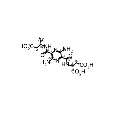 CC(=O)[C@@H](CC(=O)O)NC(=O)c1nc(N)c(C(=O)N[C@H](CC(=O)O)C(=O)O)nc1N